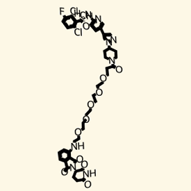 CC(Oc1cc(-c2cnn(C3CCN(C(=O)CCOCCOCCOCCOCCOCCNc4cccc5c4C(=O)N(C4CCC(=O)NC4=O)C5=O)CC3)c2)cnc1N)c1c(Cl)ccc(F)c1Cl